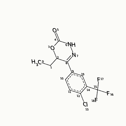 CCC1OC(=O)NN=C1c1ccc(Cl)c(C(F)(F)F)c1